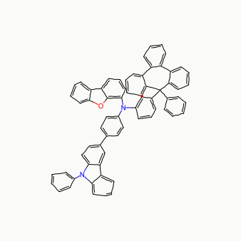 c1ccc(-n2c3ccccc3c3cc(-c4ccc(N(c5cccc(C6(c7ccccc7)c7ccccc7-c7ccccc7-c7ccccc76)c5)c5cccc6c5oc5ccccc56)cc4)ccc32)cc1